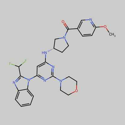 COc1ccc(C(=O)N2CC[C@H](Nc3cc(-n4c(C(F)F)nc5ccccc54)nc(N4CCOCC4)n3)C2)cn1